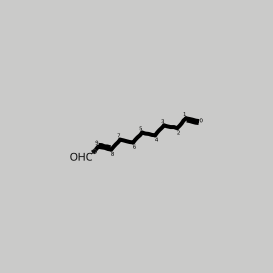 C=CCCCCCCC=CC=O